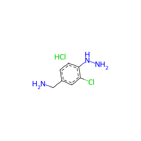 Cl.NCc1ccc(NN)c(Cl)c1